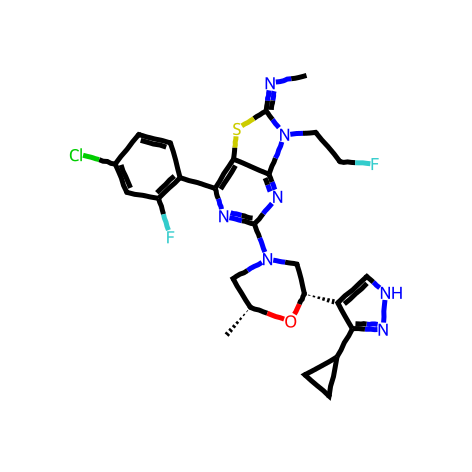 C/N=c1/sc2c(-c3ccc(Cl)cc3F)nc(N3C[C@@H](C)O[C@@H](c4c[nH]nc4C4CC4)C3)nc2n1CCF